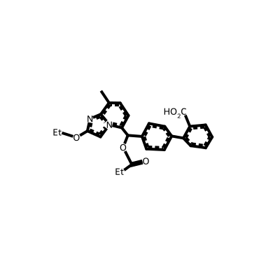 CCOc1cn2c(C(OC(=O)CC)c3ccc(-c4ccccc4C(=O)O)cc3)ccc(C)c2n1